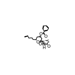 C=CCCCC1C[C@@H](OC(=O)c2ccccc2)C[C@](O)([C@@H]2CSC(=O)N2)O1